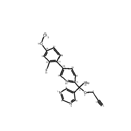 C#CCOC(c1cncnc1)(c1ccc(-c2ccc(OC(F)(F)F)cc2F)cn1)C(C)(C)C